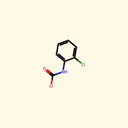 [O]C(=O)Nc1ccccc1Cl